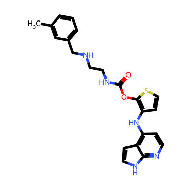 Cc1cccc(CNCCNC(=O)Oc2sccc2Nc2ccnc3[nH]ccc23)c1